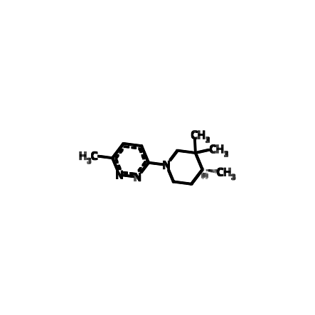 Cc1ccc(N2CC[C@@H](C)C(C)(C)C2)nn1